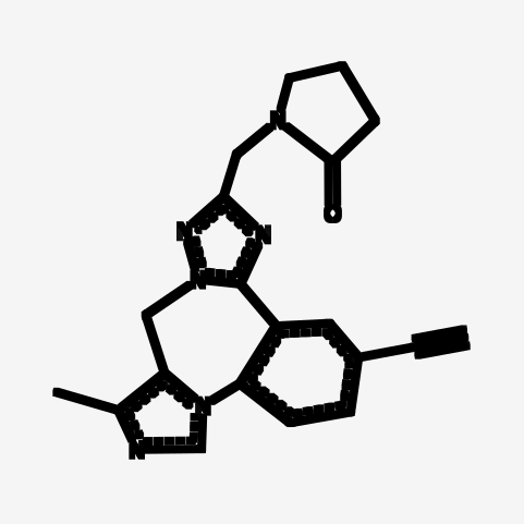 C#Cc1ccc2c(c1)-c1nc(CN3CCCC3=O)nn1Cc1c(C)ncn1-2